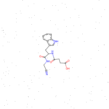 N#CCNC(=O)C(Cc1c[nH]c2ccccc12)NC(=O)CCC(=O)O